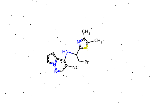 [C-]#[N+]c1cnn2cccc2c1NC(CC(C)C)c1nc(C)c(C)s1